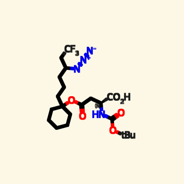 CC(C)(C)OC(=O)N[C@@H](CC(=O)OC1(CCCC(CC(F)(F)F)N=[N+]=[N-])CCCCC1)C(=O)O